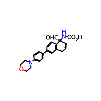 O=C[C@]1(NC(=O)O)C=CCc2cc(-c3ccc(N4CCOCC4)cc3)ccc21